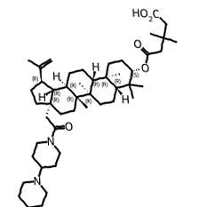 C=C(C)[C@@H]1CC[C@]2(CC(=O)N3CCC(N4CCCCC4)CC3)CC[C@]3(C)[C@H](CC[C@@H]4[C@@]5(C)CC[C@H](OC(=O)CC(C)(C)CC(=O)O)C(C)(C)[C@@H]5CC[C@]43C)[C@@H]12